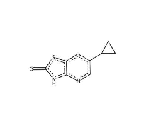 S=c1[nH]c2ncc(C3CC3)cc2s1